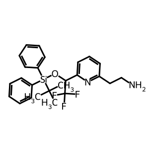 CC(C)(C)[Si](OC(c1cccc(CCN)n1)C(F)(F)F)(c1ccccc1)c1ccccc1